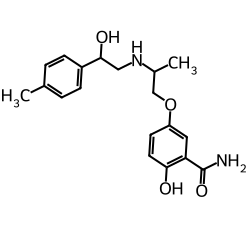 Cc1ccc(C(O)CNC(C)COc2ccc(O)c(C(N)=O)c2)cc1